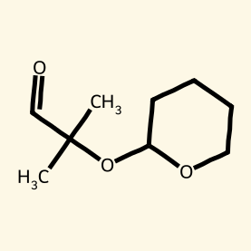 CC(C)(C=O)OC1CCCCO1